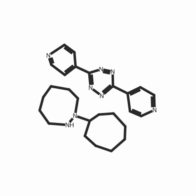 C1CCCC(N2CCCCCCN2)CCC1.c1cc(-c2nnc(-c3ccncc3)nn2)ccn1